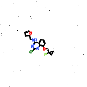 FC1(COc2cccc3c(NCc4ccco4)nc(Cl)nc23)CC1